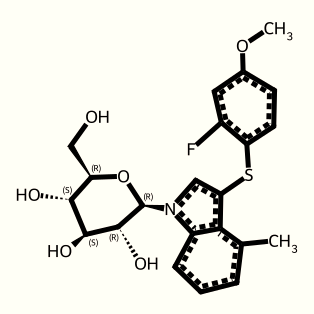 COc1ccc(Sc2cn([C@@H]3O[C@H](CO)[C@@H](O)[C@H](O)[C@H]3O)c3cccc(C)c23)c(F)c1